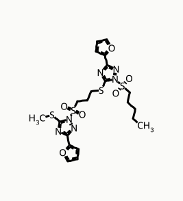 CCCCCS(=O)(=O)n1nc(-c2ccco2)nc1SCCCS(=O)(=O)n1nc(-c2ccco2)nc1SC